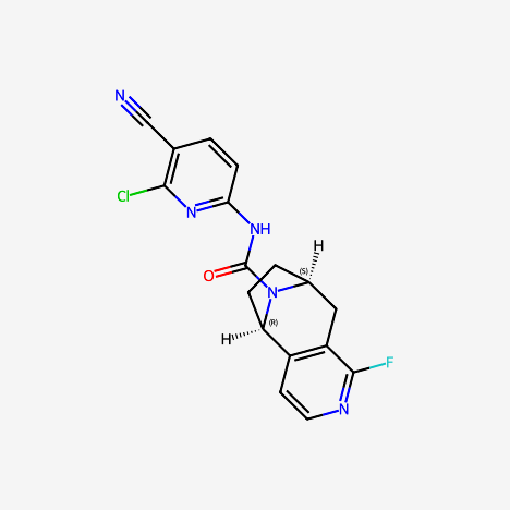 N#Cc1ccc(NC(=O)N2[C@H]3CC[C@@H]2c2ccnc(F)c2C3)nc1Cl